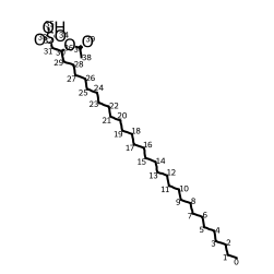 CCCCCCCCCCCCCCCCCCCCCCCCCCCCCCC(CS(=O)(=O)O)OC(C)=O